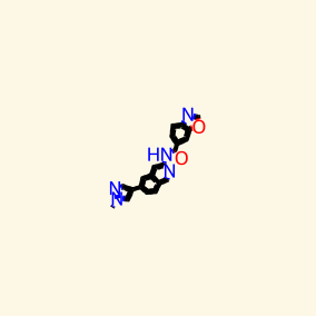 Cn1cc(-c2ccc3cnc(NC(=O)c4ccc5ncoc5c4)cc3c2)cn1